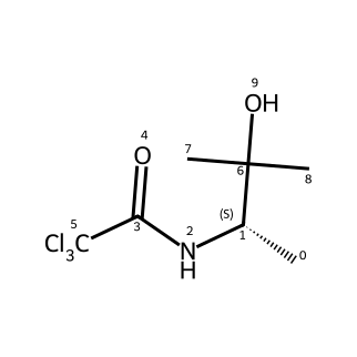 C[C@H](NC(=O)C(Cl)(Cl)Cl)C(C)(C)O